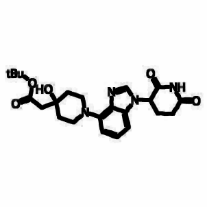 CC(C)(C)OC(=O)CC1(O)CCN(c2cccc3c2ncn3C2CCC(=O)NC2=O)CC1